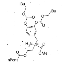 CCCCCC(=O)OCC[C@@](N)(Cc1ccc(OC(=O)OCC(C)CC)c(OC(=O)OCC(C)CC)c1)C(=O)OC